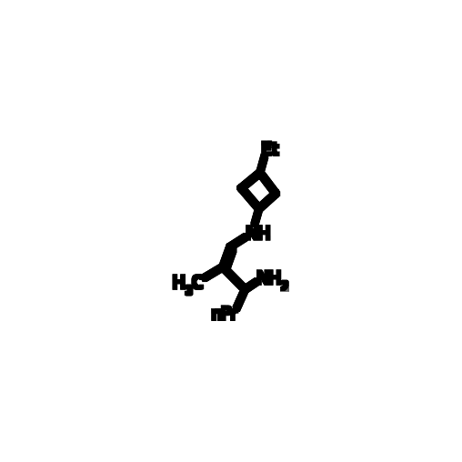 CCCC(N)/C(C)=C\NC1CC(CC)C1